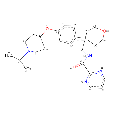 CC(C)N1CCC(Oc2ccc(C3(CNC(=O)c4ncccn4)CCOCC3)cc2)CC1